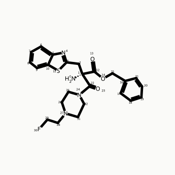 N[C@](Cc1nc2ccccc2s1)(C(=O)OCc1ccccc1)C(=O)N1CCN(CCF)CC1